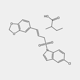 CCC(C)C(=O)O.O=S(=O)(CC=Cc1ccc2c(c1)OCO2)n1ccc2cc(Cl)ccc21